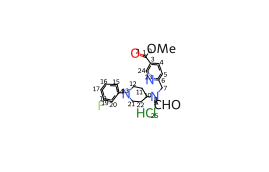 COC(=O)c1ccc(CN(C=O)C2CCN(c3cccc(F)c3)CC2)nc1.Cl